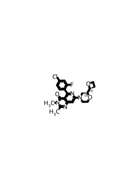 Cc1nc2cc(N3CCO[C@H]([C@@H]4CCO4)C3)nc(-c3ccc(Cl)cc3F)c2c(=O)n1C